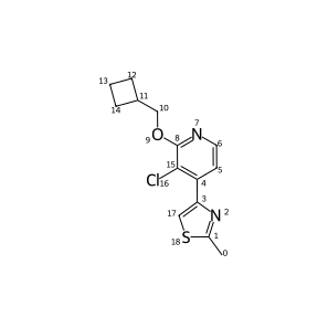 Cc1nc(-c2ccnc(OCC3CCC3)c2Cl)cs1